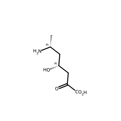 C[C@@H](N)C[C@@H](O)CC(=O)C(=O)O